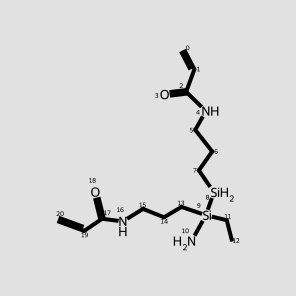 C=CC(=O)NCCC[SiH2][Si](N)(CC)CCCNC(=O)C=C